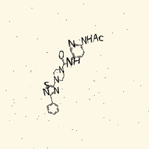 CC(=O)Nc1ccc(NC(=O)N2CCN(c3nc(-c4ccccc4)ns3)CC2)cn1